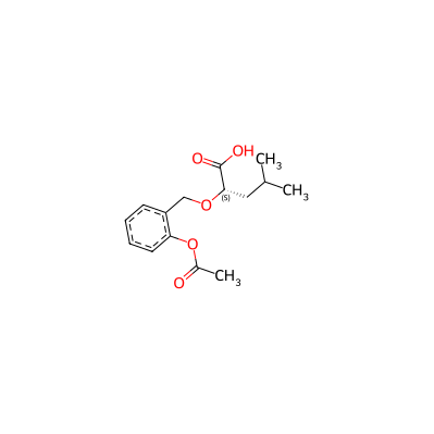 CC(=O)Oc1ccccc1CO[C@@H](CC(C)C)C(=O)O